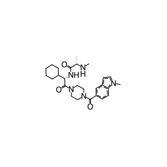 CN[C@@H](C)C(=O)N[C@H](C(=O)N1CCN(C(=O)c2ccc3c(ccn3C)c2)CC1)C1CCCCC1